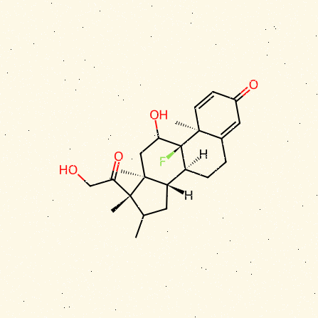 CC1C[C@H]2[C@@H]3CCC4=CC(=O)C=C[C@]4(C)[C@@]3(F)C(O)C[C@]2(C)[C@@]1(C)C(=O)CO